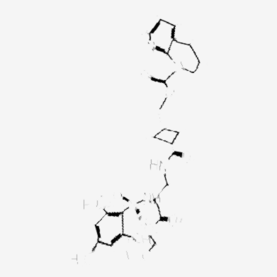 CCOC(=O)[C@H](CNC(=O)[C@H]1C[C@@H](COC(=O)N2CCCc3cccnc32)C1)NS(=O)(=O)c1c(C)cc(C)cc1C